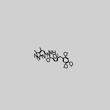 COc1cc(OC)c(OC)cc1Cc1ccc(C(=O)N(N)c2cc(C)c3c(C)nn(C)c3n2)o1